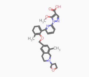 COc1c(C(=O)O)cnn1-c1cccc(C2=CCCC(C)=C2OCc2cc(C)c3c(c2)CCN(C2CCOC2)C3)n1